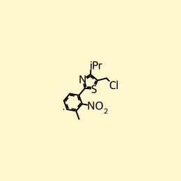 Cc1[c]ccc(-c2nc(C(C)C)c(CCl)s2)c1[N+](=O)[O-]